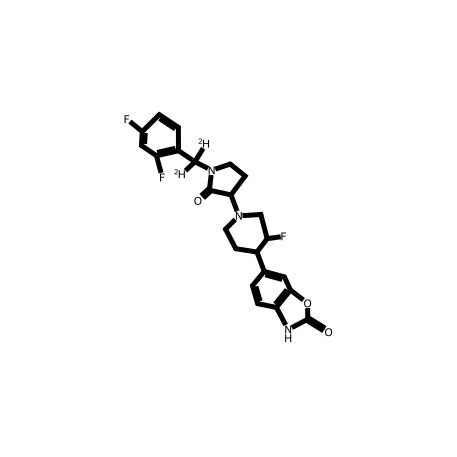 [2H]C([2H])(c1ccc(F)cc1F)N1CCC(N2CCC(c3ccc4[nH]c(=O)oc4c3)C(F)C2)C1=O